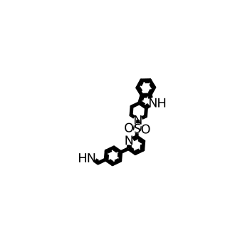 N=Cc1ccc(-c2cccc(S(=O)(=O)N3CCc4c([nH]c5ccccc45)C3)n2)cc1